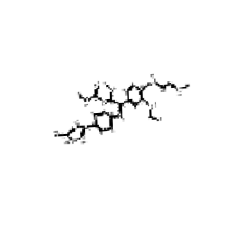 CCOc1cc(C(=N/c2ccc(-c3noc(C)n3)cc2)/C(=N/C(=O)OC)SC)ccc1OCCOC